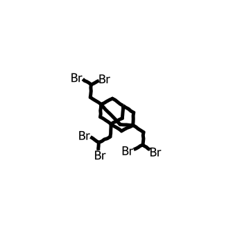 BrC(Br)CC12CC3CC(CC(Br)Br)(C1)CC(CC(Br)Br)(C3)C2